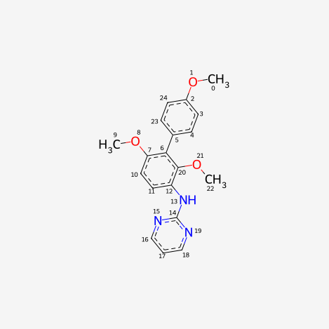 COc1ccc(-c2c(OC)ccc(Nc3ncccn3)c2OC)cc1